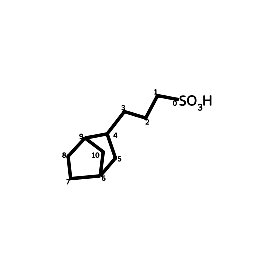 O=S(=O)(O)CCCC1CC2CCC1C2